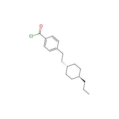 CCC[C@H]1CC[C@H](CCc2ccc(C(=O)Cl)cc2)CC1